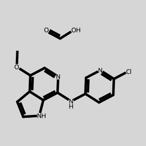 COc1cnc(Nc2ccc(Cl)nc2)c2[nH]ccc12.O=CO